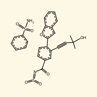 CC(C)(O)C#Cc1cc(C(=O)N=S(=O)=O)ccc1-c1cc2ccccc2o1.NS(=O)(=O)c1ccccc1